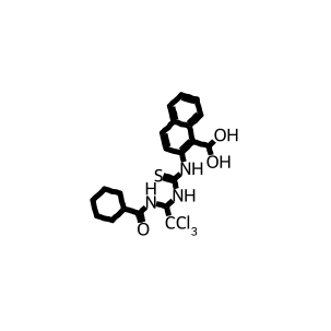 O=C(NC(NC(=S)Nc1ccc2ccccc2c1C(O)O)C(Cl)(Cl)Cl)C1CCCCC1